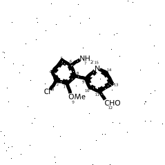 COc1c(Cl)ccc(N)c1-c1cc(C=O)ccn1